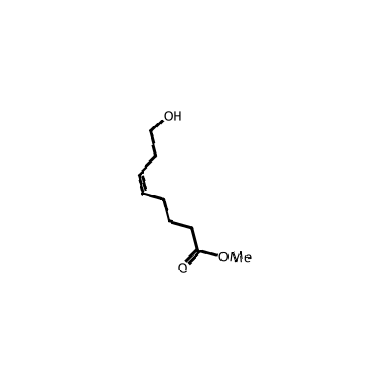 COC(=O)CCC/C=C\CCO